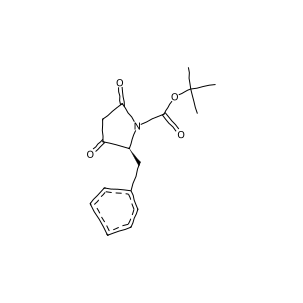 CC(C)(C)OC(=O)N1C(=O)CC(=O)[C@@H]1Cc1ccccc1